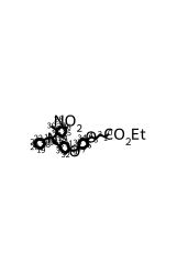 CCOC(=O)CCCOc1ccc(Oc2ccc(CN(Cc3ccccc3)c3cccc([N+](=O)[O-])c3C)cc2)cc1